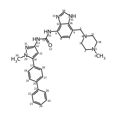 CN1CCN(Cc2ccc(NC(=O)Nc3cc(-c4ccc(-c5ccccc5)cc4)n(C)n3)c3nc[nH]c23)CC1